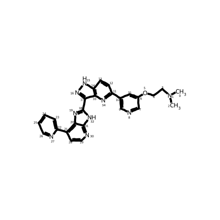 CN(C)CCOc1cncc(-c2ccc3[nH]nc(-c4nc5c(-c6ccccn6)ccnc5[nH]4)c3n2)c1